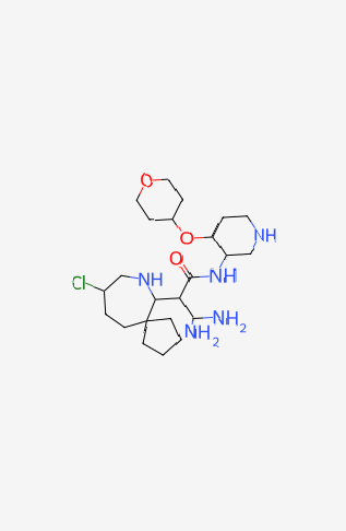 NC(N)C(C(=O)NC1CNCCC1OC1CCOCC1)C1NCC(Cl)CCC12CCCC2